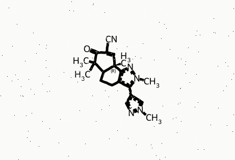 Cn1cc(-c2c3c(nn2C)[C@@]2(C)C=C(C#N)C(=O)C(C)(C)C2CC3)cn1